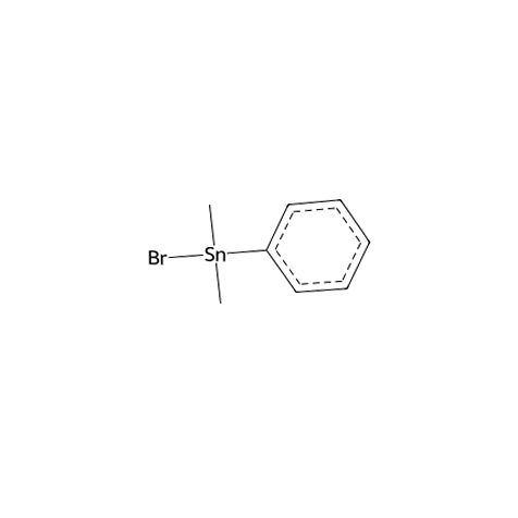 [CH3][Sn]([CH3])([Br])[c]1ccccc1